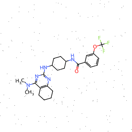 CN(C)c1nc(NC2CCC(NC(=O)c3cccc(OC(F)(F)F)c3)CC2)nc2c1CCCC2